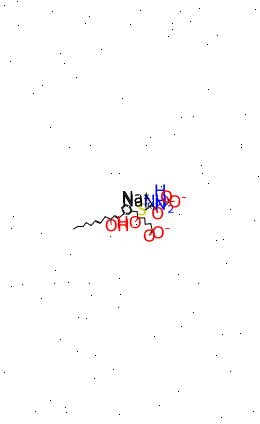 CCCCCC=CCC(O)C=Cc1cccc(C(SC[C@H](N)C(=O)NCC(=O)[O-])C(O)CCCC(=O)[O-])c1.[Na+].[Na+]